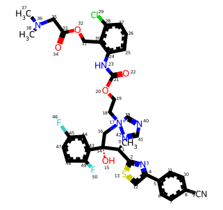 C[C@@H](c1nc(-c2ccc(C#N)cc2)cs1)[C@](O)(C[N+]1(CCOC(=O)Nc2cccc(Cl)c2COC(=O)CN(C)C)C=NC=N1)c1cc(F)ccc1F